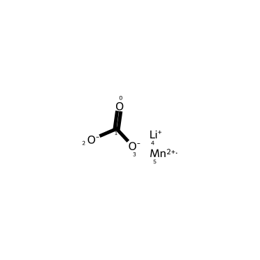 O=C([O-])[O-].[Li+].[Mn+2]